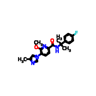 COc1nc(C(=O)NC(C)(C)c2ccc(F)cc2)ccc1-n1cnc(C)c1